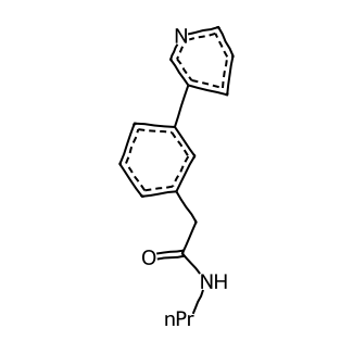 CCCNC(=O)Cc1cccc(-c2cccnc2)c1